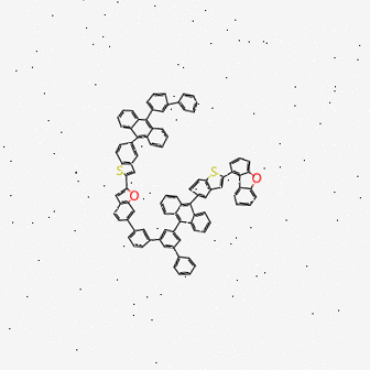 c1ccc(-c2cccc(-c3c4ccccc4c(-c4ccc5sc(-c6cc7ccc(-c8cccc(-c9cc(-c%10ccccc%10)cc(-c%10c%11ccccc%11c(-c%11ccc%12sc(-c%13cccc%14oc%15ccccc%15c%13%14)cc%12c%11)c%11ccccc%10%11)c9)c8)cc7o6)cc5c4)c4ccccc34)c2)cc1